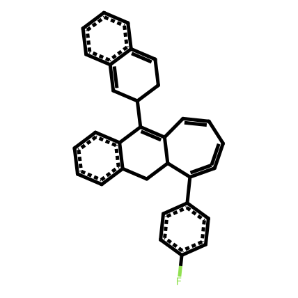 Fc1ccc(C2=C=CC=CC3=C(C4C=c5ccccc5=CC4)c4ccccc4CC23)cc1